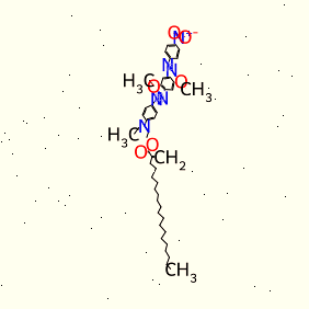 C=C(CCCCCCCCCCCCCCCCCC)C(=O)OCCN(CC)c1ccc(/N=N/c2cc(OC)c(/N=N/c3ccc([N+](=O)[O-])cc3)cc2OC)cc1